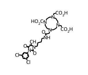 C[C@@H]1C(=O)N(c2cc(Cl)cc(Cl)c2)C(=O)N1CCCCNC(=O)CN1CCN(CC(=O)O)CCN(CC(=O)O)CCN(C(=O)O)CC1